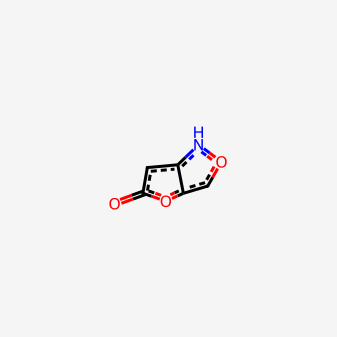 O=c1cc2[nH]occ-2o1